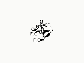 C[n+]1ccn(CC(F)(F)F)c1.O=S(=O)([N-]S(=O)(=O)C(F)(F)F)C(F)(F)F